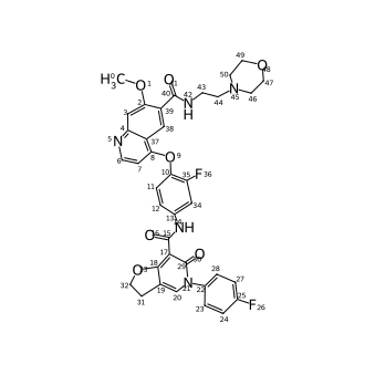 COc1cc2nccc(Oc3ccc(NC(=O)c4c5c(cn(-c6ccc(F)cc6)c4=O)CCO5)cc3F)c2cc1C(=O)NCCN1CCOCC1